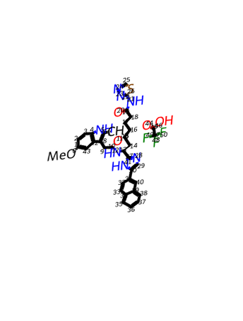 COc1ccc2[nH]c(C)c(CC(=O)N[C@@H](CCCCCC(=O)Nc3nncs3)c3ncc(-c4ccc5ccccc5c4)[nH]3)c2c1.O=C(O)C(F)(F)F